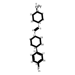 CCC[C@H]1CC[C@H](/C=C/[C@H]2CC[C@H](c3ccc(F)cc3)CC2)CC1